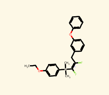 CCOc1ccc([Si](C)(C)/C(F)=C(/F)Cc2cccc(Oc3ccccc3)c2)cc1